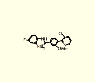 COc1cc(C(=O)Nc2ccc(F)cc2[N+](=O)[O-])ccc1-c1ncccc1Cl